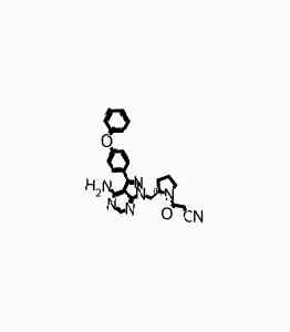 N#CCC(=O)N1CCC[C@@H]1Cn1nc(-c2ccc(Oc3ccccc3)cc2)c2c(N)ncnc21